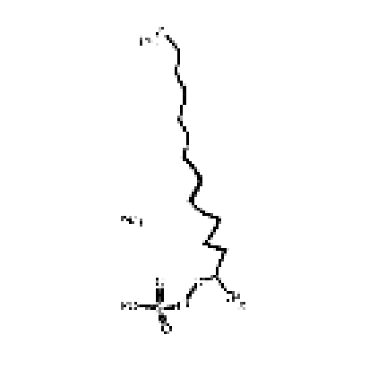 CCCCCCCCCCCCC(C)OOS(=O)(=O)O.N